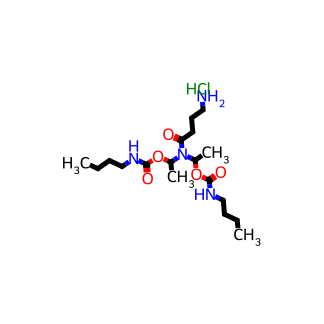 CCCCNC(=O)OC(C)N(C(=O)CCCN)C(C)OC(=O)NCCCC.Cl